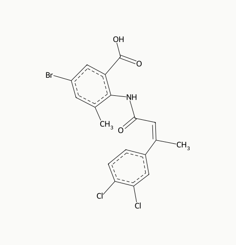 C/C(=C/C(=O)Nc1c(C)cc(Br)cc1C(=O)O)c1ccc(Cl)c(Cl)c1